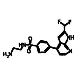 NCCNS(=O)(=O)c1ccc(-c2ccnc3[nH]c(C(F)F)cc23)cc1